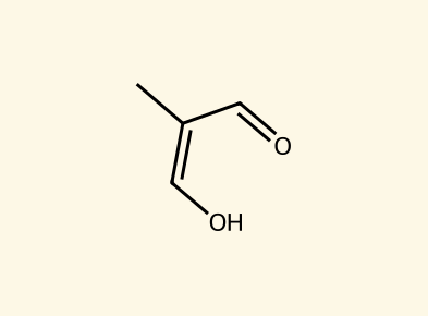 CC(C=O)=CO